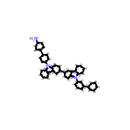 Nc1ccc(-c2ccc(-n3c4ccccc4c4cc(-c5ccc6c(c5)c5ccccc5n6-c5cccc(-c6ccccc6)c5)ccc43)cc2)cc1